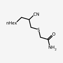 CCCCCCCC(C#N)CSCC(N)=O